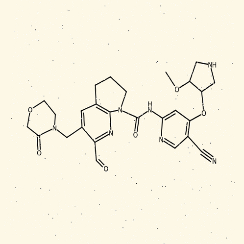 COC1CNCC1Oc1cc(NC(=O)N2CCCc3cc(CN4CCOCC4=O)c(C=O)nc32)ncc1C#N